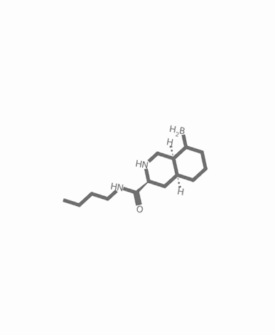 BC1CCC[C@H]2C[C@@H](C(=O)NCCCC)NC[C@@H]12